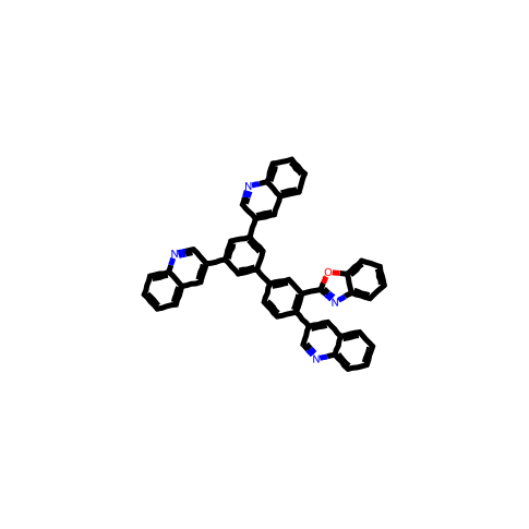 c1ccc2ncc(-c3cc(-c4ccc(-c5cnc6ccccc6c5)c(-c5nc6ccccc6o5)c4)cc(-c4cnc5ccccc5c4)c3)cc2c1